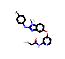 CNCC(=O)Nc1cc(Oc2ccc3c(c2)nc(Nc2ccc(C(F)(F)F)cc2)n3C)ccn1